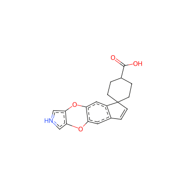 O=C(O)C1CCC2(C=Cc3cc4c(cc32)Oc2c[nH]cc2O4)CC1